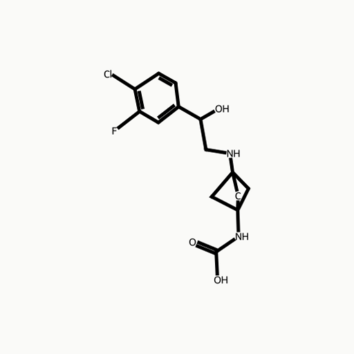 O=C(O)NC12CC(NCC(O)c3ccc(Cl)c(F)c3)(C1)C2